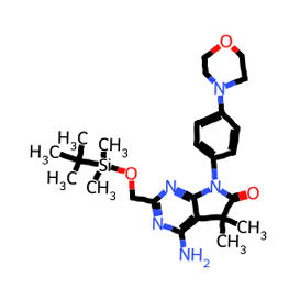 CC1(C)C(=O)N(c2ccc(N3CCOCC3)cc2)c2nc(CO[Si](C)(C)C(C)(C)C)nc(N)c21